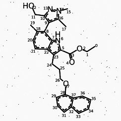 CCOC(=O)c1[nH]c2c(-c3c(CO)nn(C)c3C)c(C)ccc2c1CCCOc1cccc2ccccc12